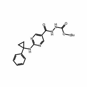 CC(C)(C)OC(=O)NNC(=O)c1cnc(NC2(c3ccccc3)CC2)nc1